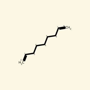 C=CCCCCCC=C